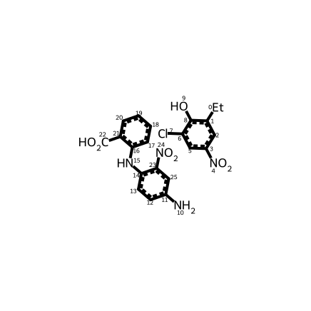 CCc1cc([N+](=O)[O-])cc(Cl)c1O.Nc1ccc(Nc2ccccc2C(=O)O)c([N+](=O)[O-])c1